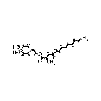 C=C(CC(=O)OCCCCCCCC)C(=O)OCCN1CCS(O)(O)CC1